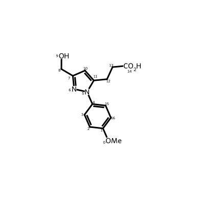 COc1ccc(-n2nc(CO)cc2CCC(=O)O)cc1